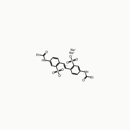 CCC(=O)Nc1ccc(/C=C/c2ccc(NC(=O)CC)cc2S(=O)(=O)[O-])c(S(=O)(=O)[O-])c1.[Na+].[Na+]